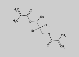 C=C(C)C(=O)OCC(C)(CC)C(OC(=O)C(=C)C)C(C)CC